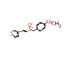 COc1ccc(C[S+]([O-])/C=C/c2ccsc2)cc1